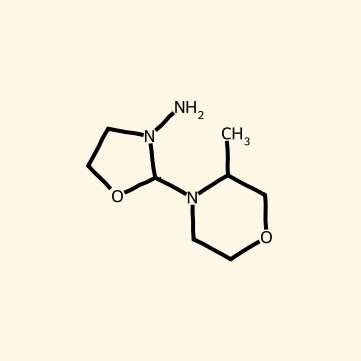 CC1COCCN1[C]1OCCN1N